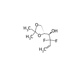 C=CC(F)(F)[C@H](O)[C@H]1COC(C)(C)O1